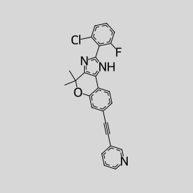 CC1(C)Oc2cc(C#Cc3cccnc3)ccc2-c2[nH]c(-c3c(F)cccc3Cl)nc21